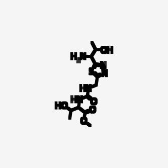 COC(=O)C(NC(=O)NCc1nnc(C(N)C(C)O)s1)C(C)O